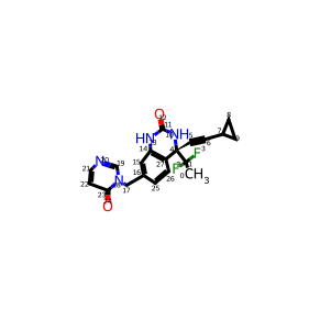 CC(F)(F)[C@@]1(C#CC2CC2)NC(=O)Nc2cc(Cn3cnccc3=O)ccc21